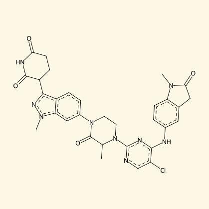 CC1C(=O)N(c2ccc3c(C4CCC(=O)NC4=O)nn(C)c3c2)CCN1c1ncc(Cl)c(Nc2ccc3c(c2)CC(=O)N3C)n1